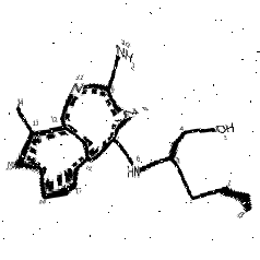 CCCC(CO)Nc1nc(N)nc2c(C)cccc12